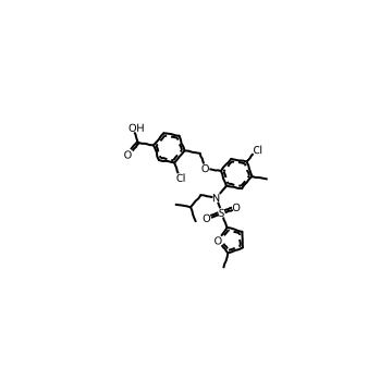 Cc1ccc(S(=O)(=O)N(CC(C)C)c2cc(C)c(Cl)cc2OCc2ccc(C(=O)O)cc2Cl)o1